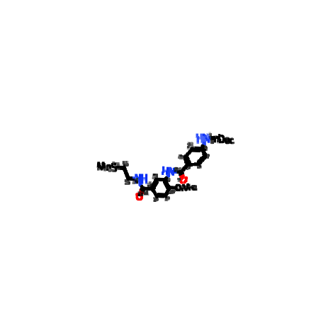 CCCCCCCCCCNc1ccc(C(=O)Nc2cc(C(=O)NCCSC)ccc2OC)cc1